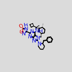 C[C@@H](Nc1nc(-c2noc(=O)[nH]2)nc2nc(N3CCCCC3Cc3ccccc3)n(C[C@H]3CC[C@H](C)CC3)c12)C1CCC1